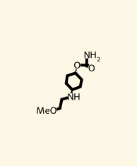 COCCN[C@H]1CC[C@H](OC(N)=O)CC1